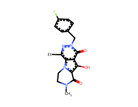 CCc1nn(Cc2ccc(F)cc2)c(=O)c2c(O)c3n(c12)CCN(C)C3=O